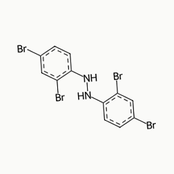 Brc1ccc(NNc2ccc(Br)cc2Br)c(Br)c1